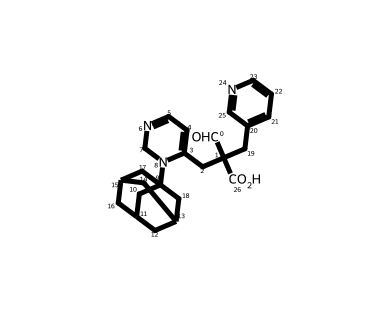 O=CC(CC1=CC=NCN1C12CC3CC(CC(C3)C1)C2)(Cc1cccnc1)C(=O)O